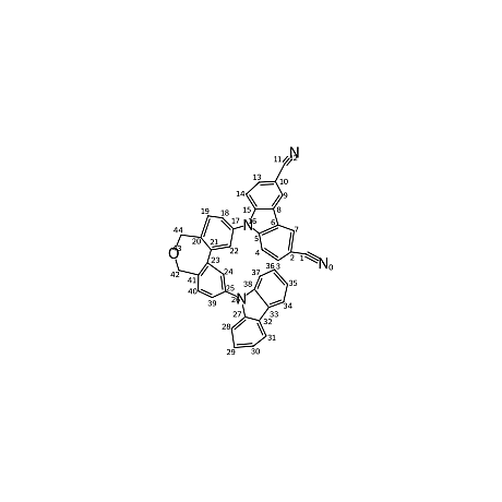 N#Cc1ccc2c(c1)c1cc(C#N)ccc1n2-c1ccc2c(c1)-c1cc(-n3c4ccccc4c4ccccc43)ccc1COC2